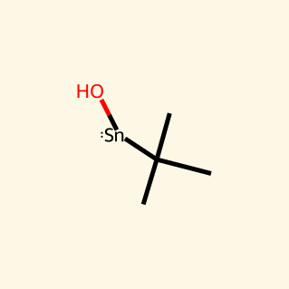 C[C](C)(C)[Sn][OH]